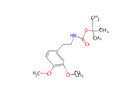 COc1ccc(CCNC(=O)OC(C)(C)C)cc1OC